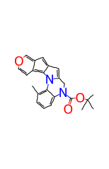 Cc1cccc2c1-n1c(cc3cc4coccc-4c31)CN2C(=O)OC(C)(C)C